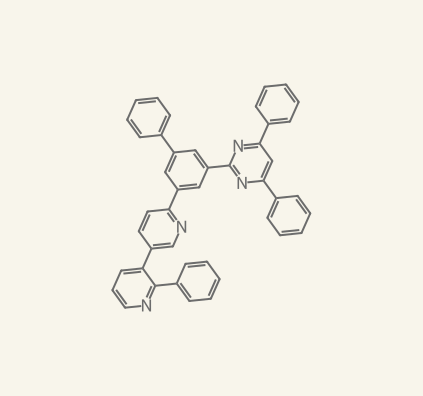 c1ccc(-c2cc(-c3ccc(-c4cccnc4-c4ccccc4)cn3)cc(-c3nc(-c4ccccc4)cc(-c4ccccc4)n3)c2)cc1